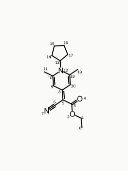 CCOC(=O)C(C#N)=C1C=C(C)N(C2CCCC2)C(C)=C1